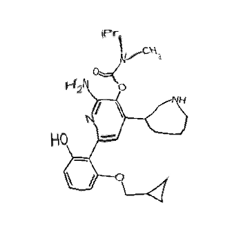 CC(C)N(C)C(=O)Oc1c(C2CCCNC2)cc(-c2c(O)cccc2OCC2CC2)nc1N